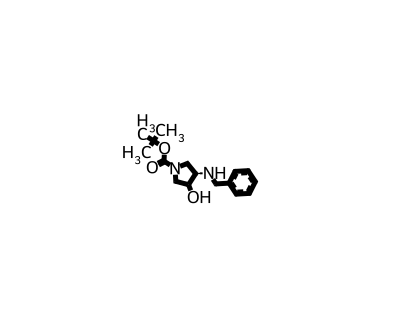 CC(C)(C)OC(=O)N1CC(O)[C@@H](NCc2ccccc2)C1